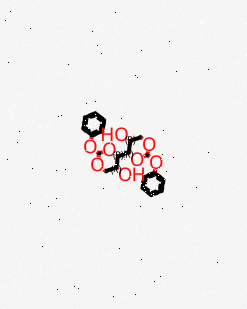 O[C@@H]1COC(Oc2ccccc2)O[C@H]1[C@@H]1OC(Oc2ccccc2)OC[C@H]1O